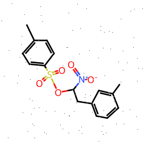 Cc1ccc(S(=O)(=O)OC(Cc2cccc(C)c2)[N+](=O)[O-])cc1